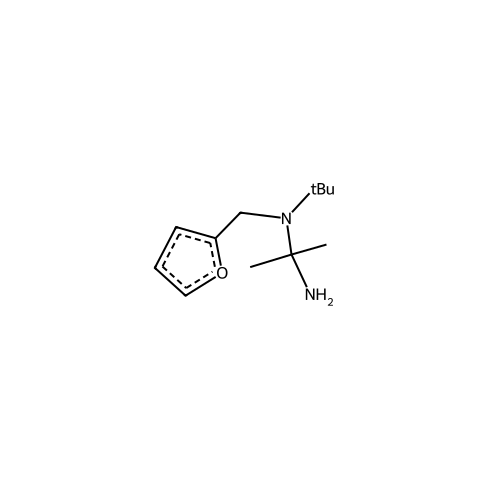 CC(C)(C)N(Cc1ccco1)C(C)(C)N